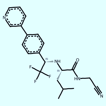 CC(C)C[C@H](N[C@@H](c1ccc(-c2cccnc2)cc1)C(F)(F)F)C(=O)NCC#N